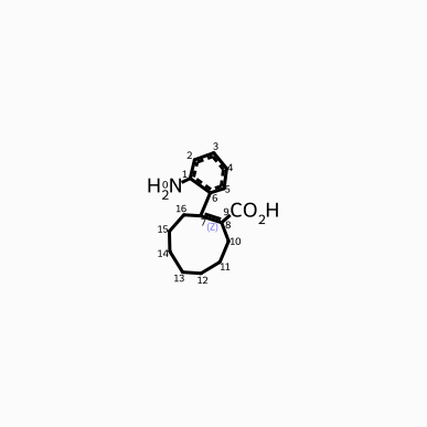 Nc1ccccc1/C1=C(\C(=O)O)CCCCCCC1